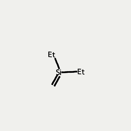 C=[Si](CC)CC